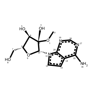 CO[C@@]1(O)[C@H](O)[C@@H](CO)O[C@H]1n1ccc2c(N)ncnc21